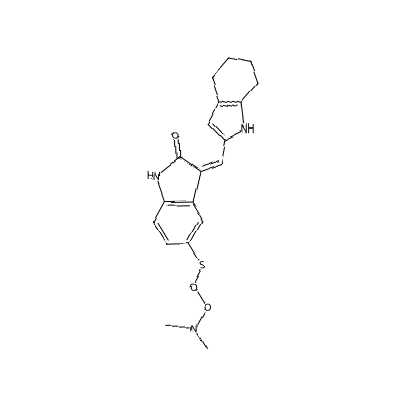 CN(C)OOSc1ccc2c(c1)/C(=C/c1cc3c([nH]1)CCCC3)C(=O)N2